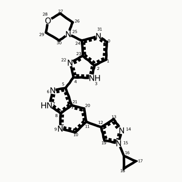 c1cc2[nH]c(-c3n[nH]c4ncc(-c5cnn(C6CC6)c5)cc34)nc2c(N2CCOCC2)n1